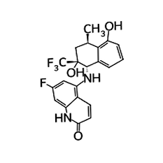 C[C@@H]1C[C@](O)(C(F)(F)F)[C@@H](Nc2cc(F)cc3[nH]c(=O)ccc23)c2cccc(O)c21